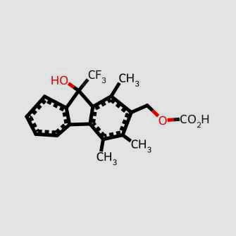 Cc1c(C)c2c(c(C)c1COC(=O)O)C(O)(C(F)(F)F)c1ccccc1-2